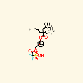 CCCC(C)(CC(C)C)C(=O)OC1=C2C3CC2CC(COC(=O)C(F)(F)S(=O)(=O)O)(C1)C3